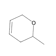 CC1CC=CCO1